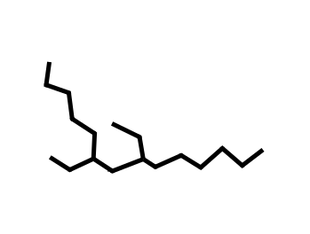 CCCCCCC([CH]C(CC)CCCCC)CC